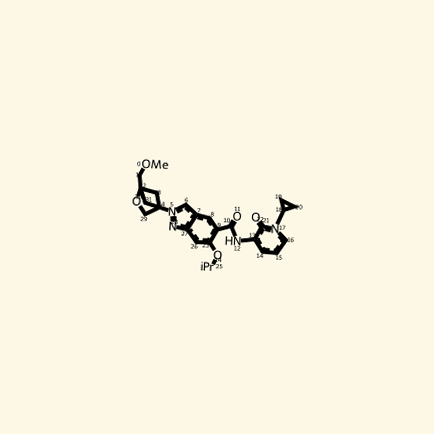 COCC12CC(n3cc4cc(C(=O)Nc5cccn(C6CC6)c5=O)c(OC(C)C)cc4n3)(CO1)C2